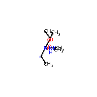 CCCCCCCC/C=C\CCCCCCCCN(CCCCCCCCOC(=O)C(CCCCCC)CCCCCCCC)CCOC(=O)NCCCN(CC)CC